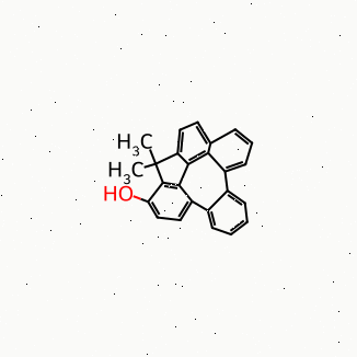 CC1(C)c2ccc3cccc4c3c2-c2c(ccc(O)c21)-c1ccccc1-4